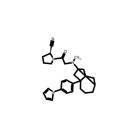 CN(CC(=O)N1CCC[C@H]1C#N)C12CC3CC1CCCC3(c1ccc(-n3cccc3)cc1)C2